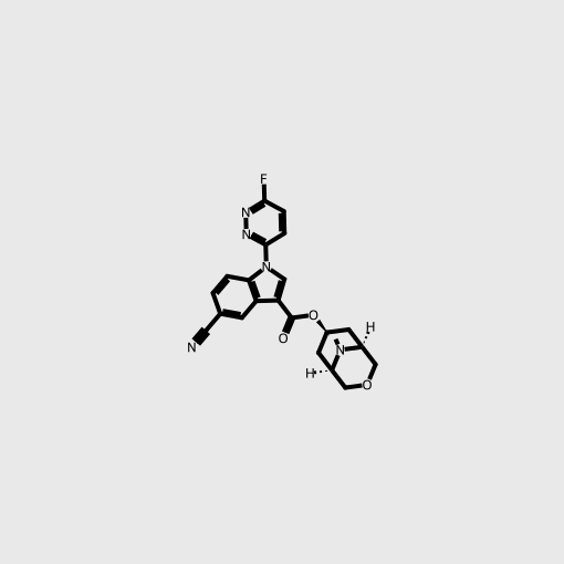 CN1[C@@H]2COC[C@H]1C[C@@H](OC(=O)c1cn(-c3ccc(F)nn3)c3ccc(C#N)cc13)C2